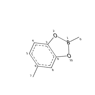 CB1Oc2ccc(C)cc2O1